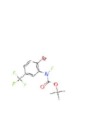 CC(C)(C)OC(=O)N(F)c1cc(C(F)(F)F)ccc1Br